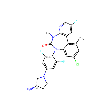 CCN1C(=O)N(c2c(F)cc(N3CC[C@@H](N)C3)cc2F)c2cc(Cl)cc(C)c2-c2cc(F)cnc21